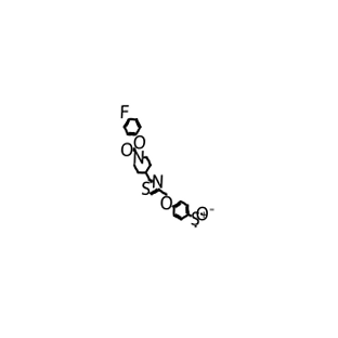 C[S+]([O-])c1ccc(OCc2csc(C3CCN(C(=O)Oc4ccc(F)cc4)CC3)n2)cc1